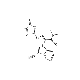 CC1=C(C)C(O/C=C(/C(=O)N(C)C)n2cc(C#N)c3ccccc32)OC1=O